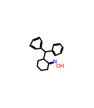 ON=C1CCCCC1C(c1ccccc1)c1ccccc1